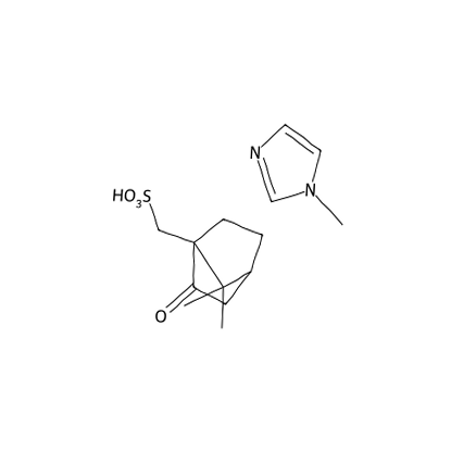 CC1(C)C2CCC1(CS(=O)(=O)O)C(=O)C2.Cn1ccnc1